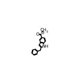 COC(=O)c1ccc2[nH]c(Cc3ccccc3)cc2c1